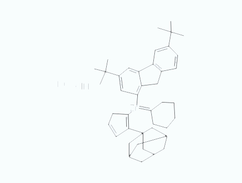 CC(C)(C)c1ccc2c(c1)-c1cc(C(C)(C)C)c[c]([Zr]([C]3=C(C45CC6CC(CC(C6)C4)C5)C=CC3)=[C]3CCCCC3)c1C2.Cl.Cl